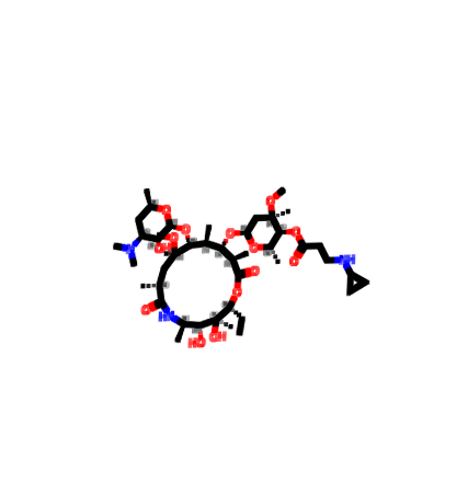 CC[C@H]1OC(=O)[C@H](C)[C@@H](O[C@H]2C[C@@](C)(OC)[C@@H](OC(=O)CCNC3CC3)[C@H](C)O2)[C@H](C)[C@@H](O[C@@H]2O[C@H](C)C[C@H](N(C)C)[C@H]2O)[C@](C)(OC)C[C@@H](C)C(=O)N[C@H](C)[C@@H](O)[C@]1(C)O